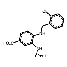 CCCCCNc1cc(C(=O)O)ccc1NCc1ccccc1Cl